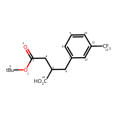 CC(C)(C)OC(=O)CC(Cc1cccc(C(F)(F)F)c1)C(=O)O